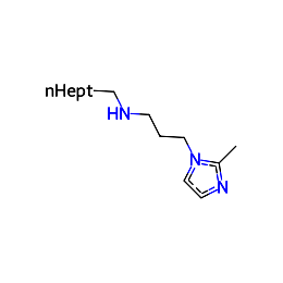 CCCCCCCCNCCCn1ccnc1C